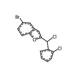 Clc1ccccc1C(Cl)c1cc2cc(Br)ccc2o1